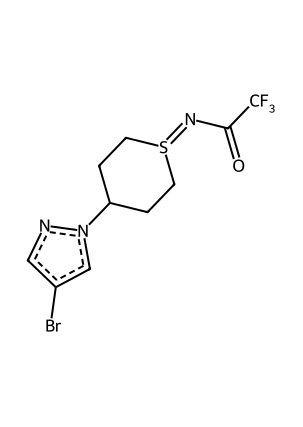 O=C(N=S1CCC(n2cc(Br)cn2)CC1)C(F)(F)F